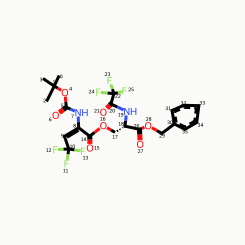 CC(C)(C)OC(=O)NC(=CC(F)(F)F)C(=O)OC[C@H](NC(=O)C(F)(F)F)C(=O)OCc1ccccc1